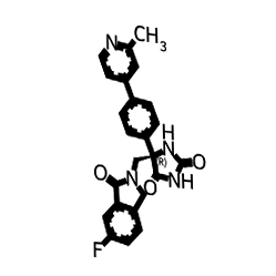 Cc1cc(-c2ccc([C@]3(CN4Cc5ccc(F)cc5C4=O)NC(=O)NC3=O)cc2)ccn1